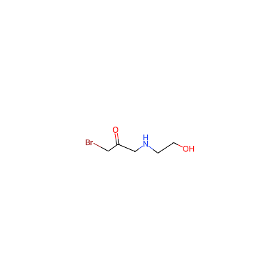 O=C(CBr)CNCCO